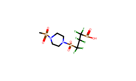 CS(=O)(=O)N1CCN(S(=O)(=O)C(F)(F)C(F)(F)C(F)(F)S(=O)(=O)O)CC1